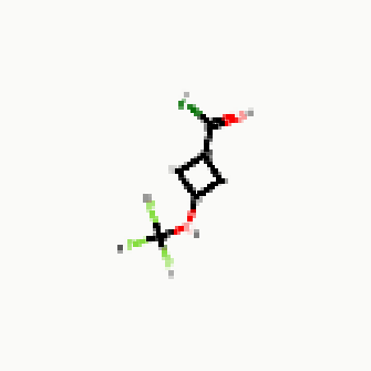 O=C(Cl)C1CC(OC(F)(F)F)C1